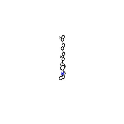 C=C1/C=C(c2ccc3ccc4c(c3n2)C=CCC4)\C=C/CC2=C(C=C(C3=CC4=C(CC3)c3ccc(-c5ccc6cc(C7=CC8C=CC=C[C@@H]8C=C7)ccc6c5)cc3C4(C)C)CC2)C1(C)C